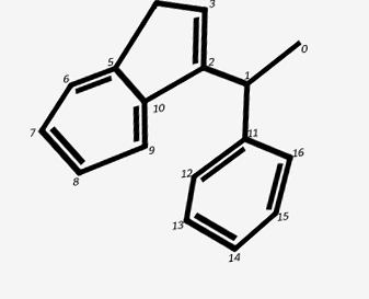 CC(C1=C[CH]c2ccccc21)c1ccccc1